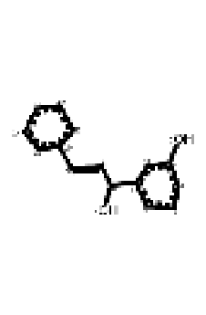 Oc1cccc(C(O)/C=C/c2ccccc2)c1